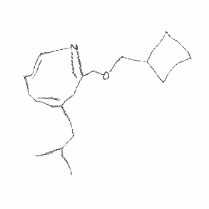 CC(C)Cc1cccnc1OCC1CCC1